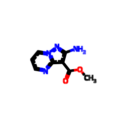 COC(=O)c1c(N)nn2cccnc12